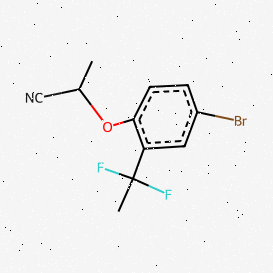 CC(C#N)Oc1ccc(Br)cc1C(C)(F)F